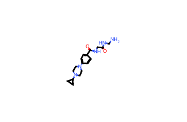 NCNC(=O)CNC(=O)c1ccc(N2CCN(C3CC3)CC2)cc1